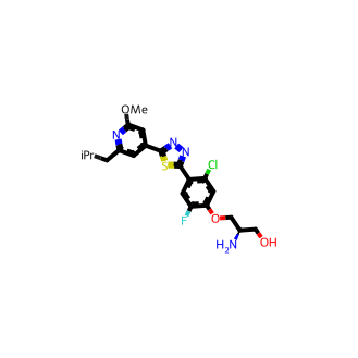 COc1cc(-c2nnc(-c3cc(F)c(OC[C@H](N)CO)cc3Cl)s2)cc(CC(C)C)n1